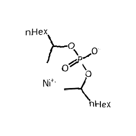 CCCCCCC(C)OP(=O)([O-])OC(C)CCCCCC.[Ni+]